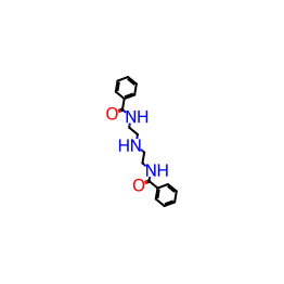 O=C(NCCNCCNC(=O)c1ccccc1)c1ccccc1